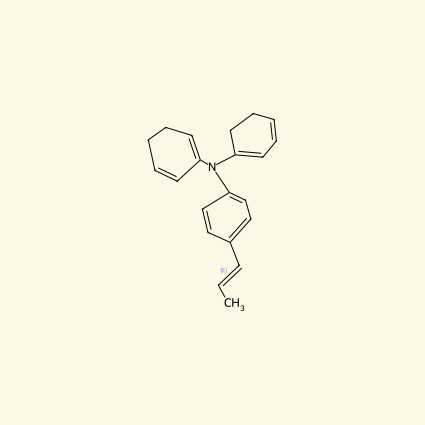 C/C=C/c1ccc(N(C2=CCCC=C2)C2=CC=CCC2)cc1